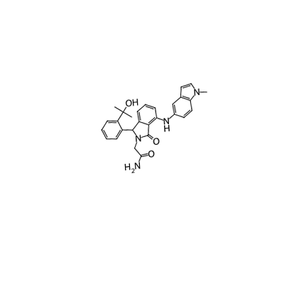 Cn1ccc2cc(Nc3cccc4c3C(=O)N(CC(N)=O)C4c3ccccc3C(C)(C)O)ccc21